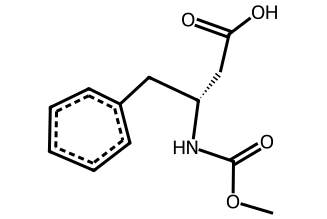 COC(=O)N[C@@H](CC(=O)O)Cc1ccccc1